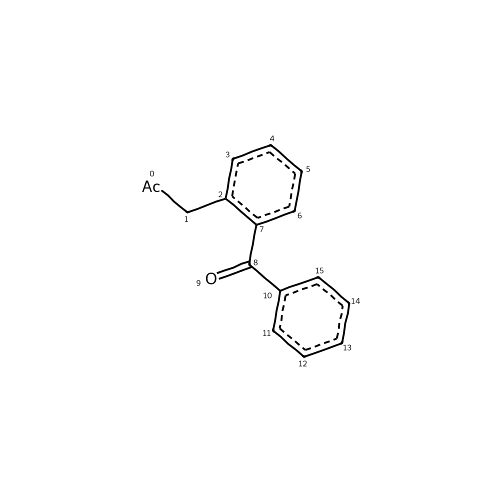 CC(=O)Cc1ccccc1C(=O)c1ccccc1